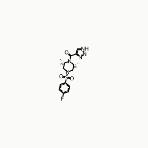 C[C@@H]1CN(S(=O)(=O)c2ccc(F)cc2)C[C@H](C)N1C(=O)c1c[nH]nn1